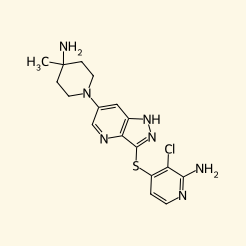 CC1(N)CCN(c2cnc3c(Sc4ccnc(N)c4Cl)n[nH]c3c2)CC1